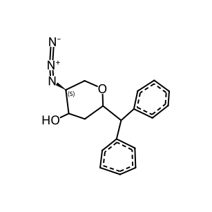 [N-]=[N+]=N[C@H]1COC(C(c2ccccc2)c2ccccc2)CC1O